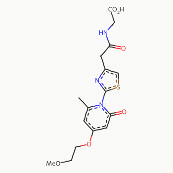 COCCOc1cc(C)n(-c2nc(CC(=O)NCC(=O)O)cs2)c(=O)c1